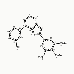 COc1cc(-c2cc3nccc(-c4cccc(O)c4)c3o2)cc(OC)c1OC